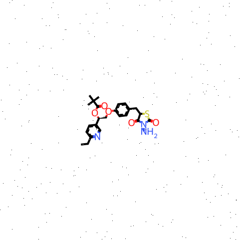 CCc1ccc([C@H](COc2ccc(CC3SC(=O)N(N)C3=O)cc2)OC(=O)C(C)(C)C)cn1